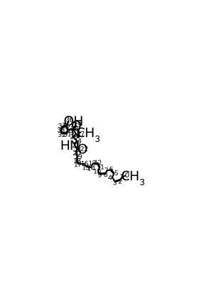 CC/C=C\C/C=C\C/C=C\C/C=C\C/C=C\C/C=C\CCC(=O)NCCN(C)C(=O)c1ccccc1O